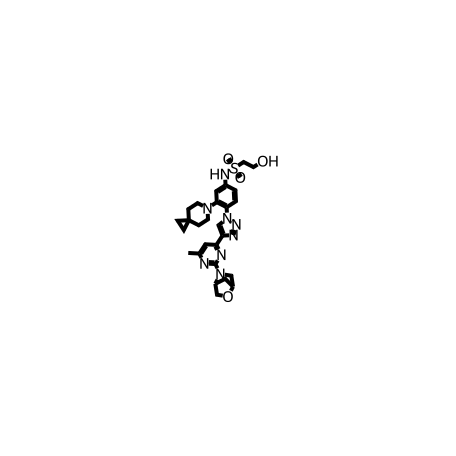 Cc1cc(-c2cn(-c3ccc(NS(=O)(=O)CCO)cc3N3CCC4(CC3)CC4)nn2)nc(N2CC3CC2CO3)n1